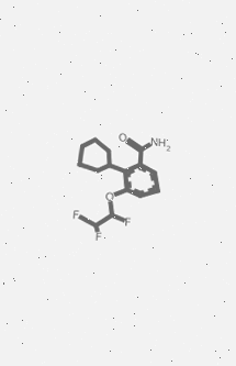 NC(=O)c1cccc(OC(F)C(F)F)c1C1CCCCC1